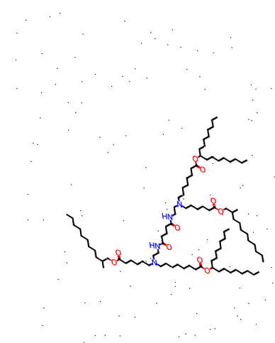 CCCCCCCCCC(C)COC(=O)CCCCCN(CCCCCCCC(=O)OC(CCCCCCCC)CCCCCCCC)CCNC(=O)CCCC(=O)NCCN(CCCCCCCC(=O)OC(CCCCCCCC)CCCCCCCC)CCCCCC(=O)OCC(C)CCCCCCCCC